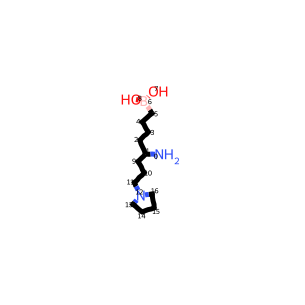 NC(CCCCB(O)O)CCCN1CCCC1